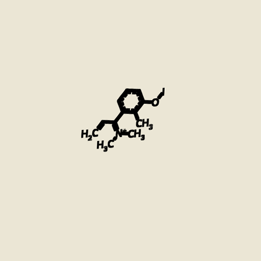 C=CC(c1cccc(OI)c1C)=[N+](C)C